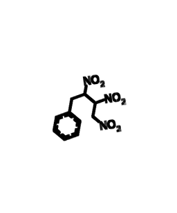 O=[N+]([O-])CC(C(Cc1ccccc1)[N+](=O)[O-])[N+](=O)[O-]